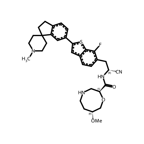 CO[C@@H]1CCNC[C@@H](C(=O)N[C@@H](C#N)Cc2ccc3cc(-c4ccc5c(c4)C4(CC5)CCN(C)CC4)sc3c2F)OC1